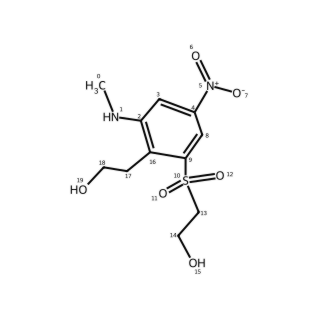 CNc1cc([N+](=O)[O-])cc(S(=O)(=O)CCO)c1CCO